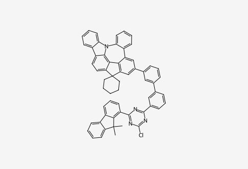 CC1(C)c2ccccc2-c2cccc(-c3nc(Cl)nc(-c4cccc(-c5cccc(-c6cc7c8c(c6)C6(CCCCC6)c6ccc9c%10ccccc%10n(c9c6-8)-c6ccccc6-7)c5)c4)n3)c21